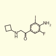 Nc1c(F)cc(C(=O)CNC2CCC2)cc1I